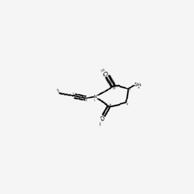 CC#CN1C(=O)CC(S)C1=O